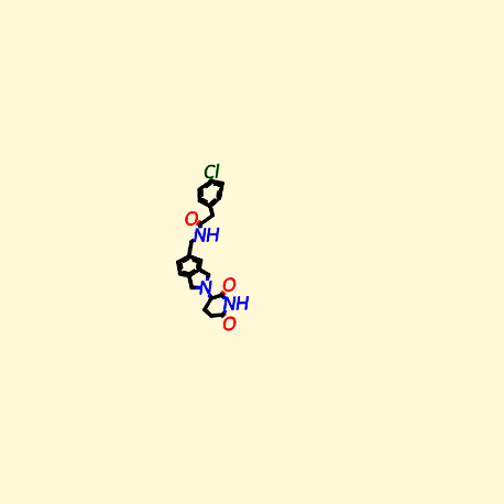 O=C(Cc1ccc(Cl)cc1)NCc1ccc2c(c1)CN(C1CCC(=O)NC1=O)C2